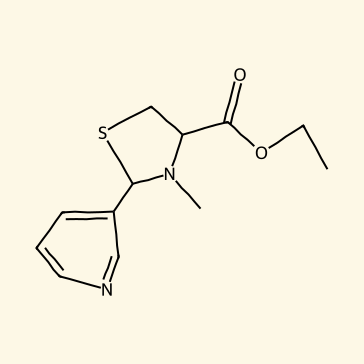 CCOC(=O)C1CSC(c2cccnc2)N1C